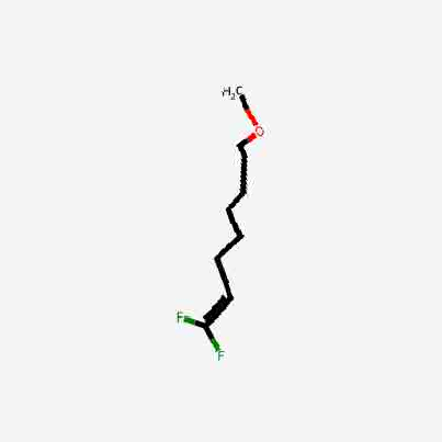 [CH2]OCCCCCC=C(F)F